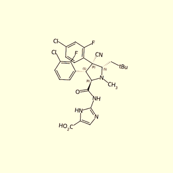 CN1[C@@H](CC(C)(C)C)[C@](C#N)(c2ccc(Cl)cc2F)[C@@H](c2cccc(Cl)c2F)[C@@H]1C(=O)Nc1ncc(C(=O)O)[nH]1